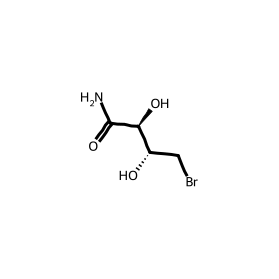 NC(=O)[C@@H](O)[C@@H](O)CBr